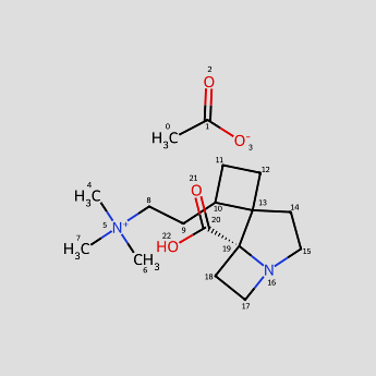 CC(=O)[O-].C[N+](C)(C)CCC1CCC12CCN1CC[C@]12C(=O)O